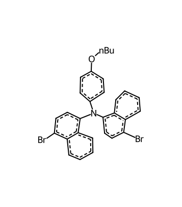 CCCCOc1ccc(N(c2ccc(Br)c3ccccc23)c2ccc(Br)c3ccccc23)cc1